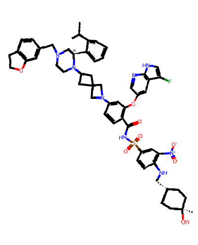 CC(C)c1ccccc1[C@@H]1CN(Cc2ccc3c(c2)OCC3)CCN1C1CC2(C1)CN(c1ccc(C(=O)NS(=O)(=O)c3ccc(NC[C@H]4CC[C@](C)(O)CC4)c([N+](=O)[O-])c3)c(Oc3cnc4[nH]cc(F)c4c3)c1)C2